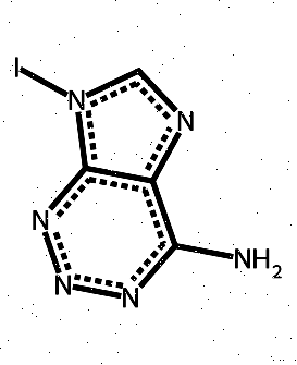 Nc1nnnc2c1ncn2I